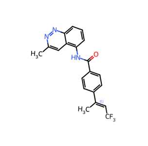 C/C(=C\C(F)(F)F)c1ccc(C(=O)Nc2cccc3nnc(C)cc23)cc1